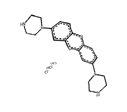 Cl.Cl.[Cl-].c1cc2nc3ccc(N4CCNCC4)cc3[s+]c2cc1N1CCNCC1